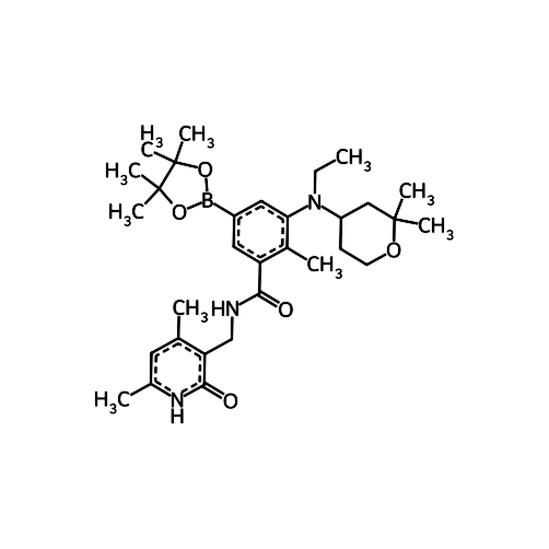 CCN(c1cc(B2OC(C)(C)C(C)(C)O2)cc(C(=O)NCc2c(C)cc(C)[nH]c2=O)c1C)C1CCOC(C)(C)C1